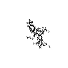 CC[S@+]([O-])c1cc(OC(C)(C)C#N)c(C)nc1-c1nc2cc(C(F)(F)F)cnc2n1C